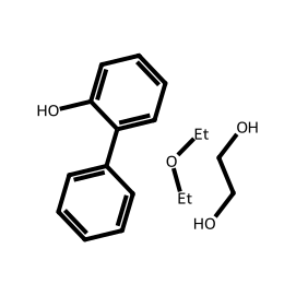 CCOCC.OCCO.Oc1ccccc1-c1ccccc1